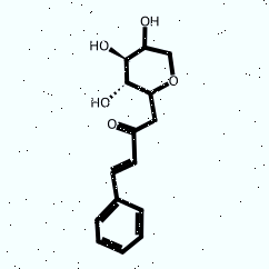 O=C(C=Cc1ccccc1)CC1OCC(O)[C@H](O)[C@H]1O